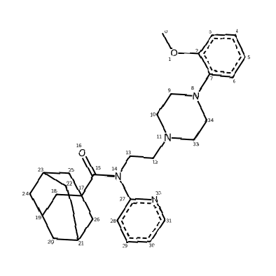 COc1ccccc1N1CCN(CCN(C(=O)C23CC4CC(CC(C4)C2)C3)c2ccccn2)CC1